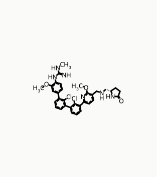 CNC(=N)Nc1ccc(-c2cccc(-c3cccc(-c4ccc(CNC[C@@H]5CCC(=O)N5)c(OC)n4)c3Cl)c2Cl)cc1OC